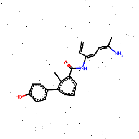 C=C/C(=C\C=C(\C)N)NC(=O)c1cccc(-c2ccc(O)cc2)c1C